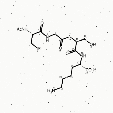 CC(=O)N[C@@H](CC(C)C)C(=O)NCC(=O)N[C@@H](CO)C(=O)N[C@@H](CCCCN)C(=O)O